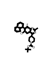 Cc1nc(C2CCN(C(=O)OC(C)(C)C)CC2)c2cc(Cl)c(-c3cccc4ccccc34)c(F)c2n1